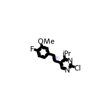 COc1cc(/C=C/c2cnc(Cl)nc2C(C)C)ccc1F